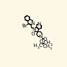 CC(C)(C)OC(=O)N1CCC2(CC1)C(=O)N(Cc1ncc3ccccc3c1Br)c1cnccc12